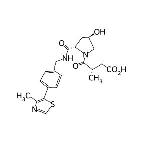 Cc1ncsc1-c1ccc(CNC(=O)[C@@H]2C[C@@H](O)CN2C(=O)[C@@H](C)CC(=O)O)cc1